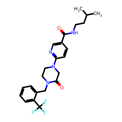 CC(C)CCNC(=O)c1ccc(N2CCN(Cc3ccccc3C(F)(F)F)C(=O)C2)nc1